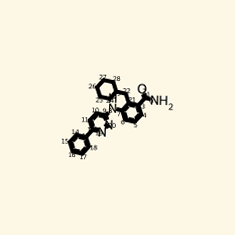 NC(=O)c1cccc(Nc2ccc(-c3ccccc3)nn2)c1CC1CCCCC1